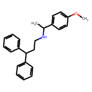 COc1ccc(C(C)NCCC(c2ccccc2)c2ccccc2)cc1